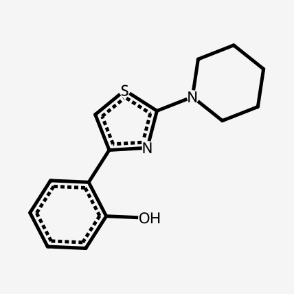 Oc1ccccc1-c1csc(N2CCCCC2)n1